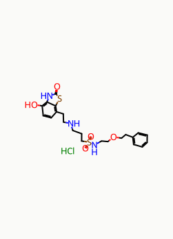 Cl.O=c1[nH]c2c(O)ccc(CCNCCCS(=O)(=O)NCCOCCc3ccccc3)c2s1